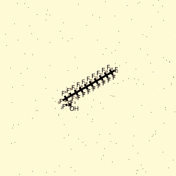 O[Si](F)(F)C(F)(F)C(F)(F)C(F)(F)C(F)(F)C(F)(F)C(F)(F)C(F)(F)C(F)(F)C(F)(F)C(F)(F)F